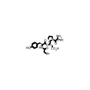 CC(C)CC(=O)N[C@@H](Cc1ccc(O)cc1)C(=O)O[C@@H](CC(=O)O)[C@@H]1CCCN1C(=O)[C@@H](N)C(C)C